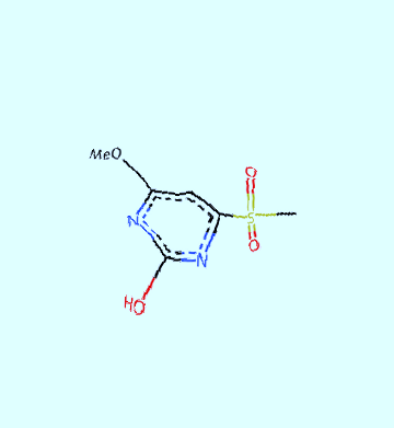 COc1cc(S(C)(=O)=O)nc(O)n1